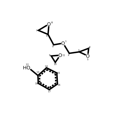 C(OCC1CO1)C1CO1.C1CO1.Oc1ccccc1